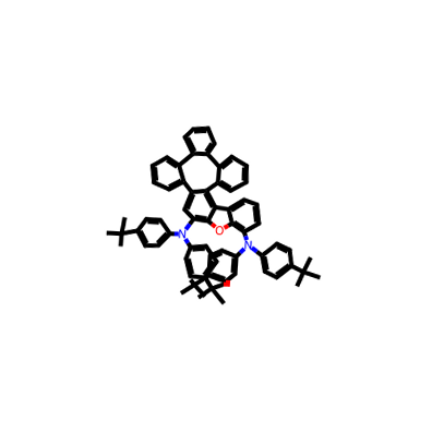 CC(C)(C)c1ccc(N(c2ccc(C(C)(C)C)cc2)c2cccc3c2oc2c(N(c4ccc(C(C)(C)C)cc4)c4ccc(C(C)(C)C)cc4)cc4c(c23)-c2ccccc2-c2ccccc2-c2ccccc2-4)cc1